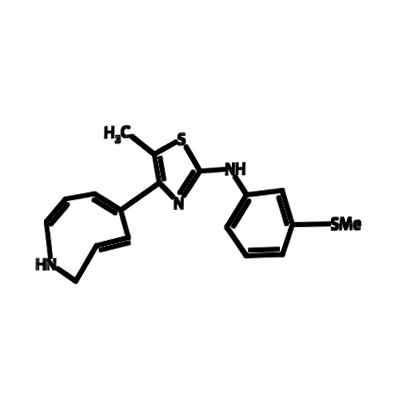 CSc1cccc(Nc2nc(C3=C/C=C\NC\C=C\3)c(C)s2)c1